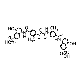 Cc1cc(C(=O)Nc2ccc(O)c3cc(S(=O)(=O)O)ccc23)ccc1NC(=O)C(=O)Nc1ccc(C(=O)Nc2ccc(O)c3cc(S(=O)(=O)O)ccc23)cc1C